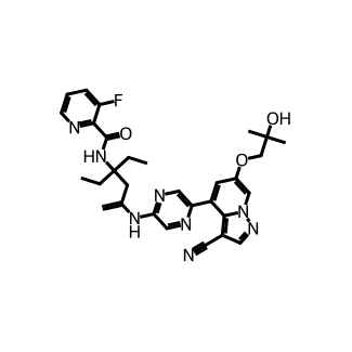 C=C(CC(CC)(CC)NC(=O)c1ncccc1F)Nc1cnc(-c2cc(OCC(C)(C)O)cn3ncc(C#N)c23)cn1